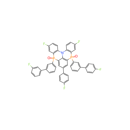 O=P1(c2cccc(-c3ccc(F)cc3)c2)c2cc(F)ccc2N2c3ccc(F)cc3P(=O)(c3cccc(-c4cccc(F)c4)c3)c3cc(-c4ccc(F)cc4)cc1c32